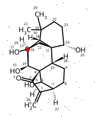 C=C1C(=O)[C@]23[C@H](O)[C@H]1CC[C@H]2[C@@]12CO[C@]3(O)[C@@H](O)[C@@H]1C(C)(C)CC[C@@H]2O